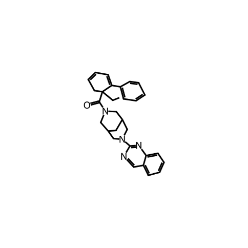 CCC1(C(=O)N2CC3CC(C2)CN(c2ncc4ccccc4n2)C3)CC=CC=C1c1ccccc1